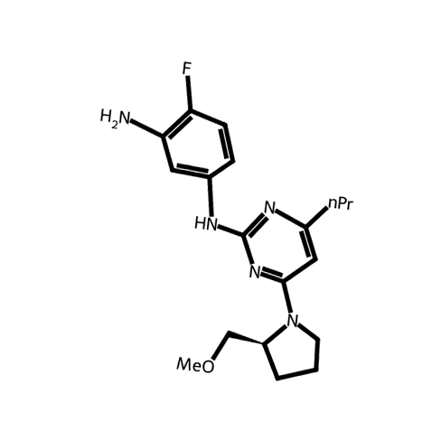 CCCc1cc(N2CCC[C@H]2COC)nc(Nc2ccc(F)c(N)c2)n1